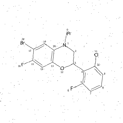 CC(C)N1CC(c2c(F)cccc2Cl)Oc2cc(F)c(Br)cc21